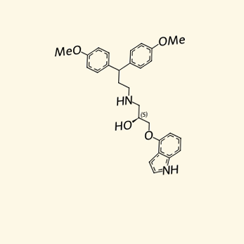 COc1ccc(C(CCNC[C@H](O)COc2cccc3[nH]ccc23)c2ccc(OC)cc2)cc1